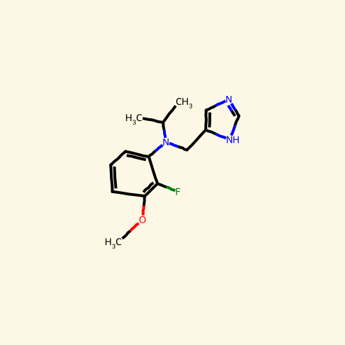 COc1cccc(N(Cc2cnc[nH]2)C(C)C)c1F